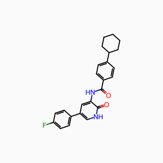 O=C(Nc1cc(-c2ccc(F)cc2)c[nH]c1=O)c1ccc(C2CCCCC2)cc1